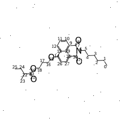 CCCCCCN1C(=O)c2cccc3c(OCCCOC(=O)C(C)CC)ccc(c23)C1=O